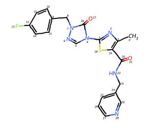 Cc1nc(-n2cnn(Cc3ccc(F)cc3)c2=O)sc1C(=O)NCc1cccnc1